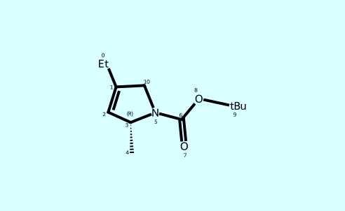 CCC1=C[C@@H](C)N(C(=O)OC(C)(C)C)C1